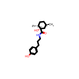 CC(C)[C@@H]1CC[C@@H](C)C[C@@]1(O)C(=O)NCCCc1ccc(O)cc1